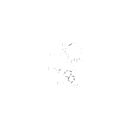 COc1ccc2c(O[C@@H]3C[C@H]4C(=O)N[C@]5(C(=O)O)C[C@H]5/C=C\CCCCCC(=O)N4C3)cc(C3=NC(C(C)C)CS3)nc2c1C